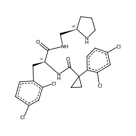 O=C(NC[C@H]1CCCN1)[C@H](Cc1ccc(Cl)cc1Cl)NC(=O)C1(c2ccc(Cl)cc2Cl)CC1